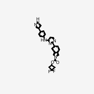 O=C(OC1CC(F)(F)C1)n1cc2ccc(-c3nccc(Nc4ccc(-c5cn[nH]c5)cc4)n3)cc2c1